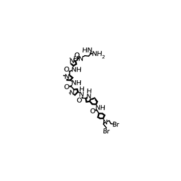 Cn1cc(NC(=O)c2cc(NC(=O)c3cc(NC(=O)c4cc5cc(NC(=O)c6ccc(N(CCBr)CCBr)cc6)ccc5[nH]4)cn3C)cn2C)cc1C(=O)NCCC(=N)N